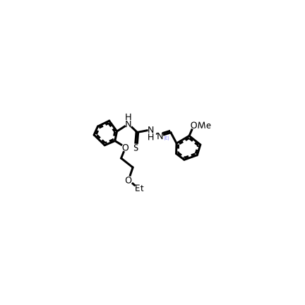 CCOCCOc1ccccc1NC(=S)N/N=C/c1ccccc1OC